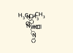 CCCCc1ccc2c(CCC3CCN(Cc4ccccc4)CC3)noc2c1CN(C)C.Cl.Cl